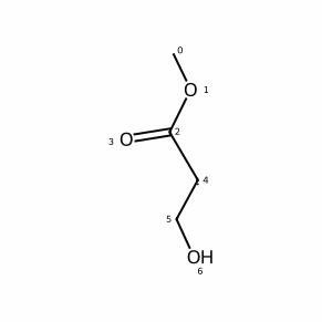 COC(=O)[CH]CO